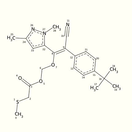 CSCC(=O)OCO/C(=C(/C#N)c1ccc(C(C)(C)C)cc1)c1cc(C)nn1C